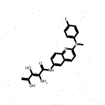 C=C(O)/C(O)=C(\N)C(=O)Nc1ccc2nc(N(C)c3ccc(F)cc3)ccc2c1